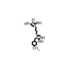 CCC[C@@H]1CN(CCCC[C@H]2CNC(=N)N2CC2CCC(C)CC2)C(=N)N1